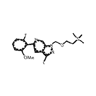 COc1cccc(F)c1-c1cc2c(I)nn(COCCS(C)(C)C)c2cn1